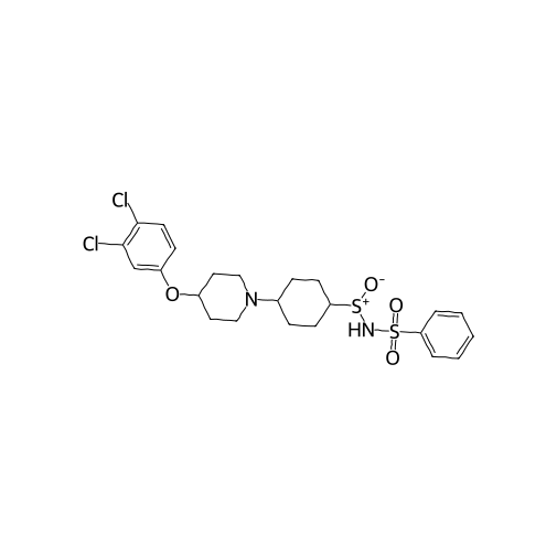 O=S(=O)(N[S+]([O-])C1CCC(N2CCC(Oc3ccc(Cl)c(Cl)c3)CC2)CC1)c1ccccc1